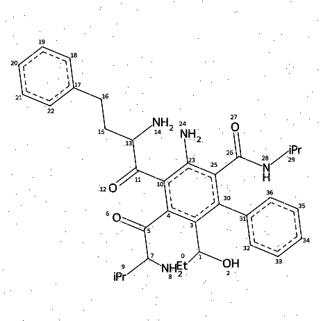 CCC(O)c1c(C(=O)C(N)C(C)C)c(C(=O)C(N)CCc2ccccc2)c(N)c(C(=O)NC(C)C)c1-c1ccccc1